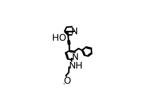 COCCCNc1ccc(C#CC2(O)CN3CCC2CC3)c(Cc2ccccc2)n1